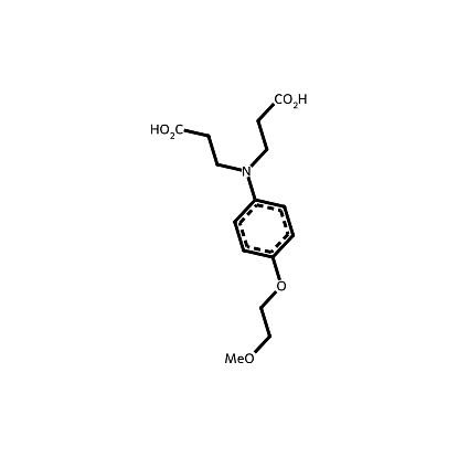 COCCOc1ccc(N(CCC(=O)O)CCC(=O)O)cc1